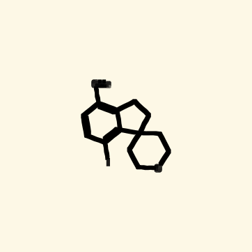 COc1ccc(I)c2c1CCC21CCOCC1